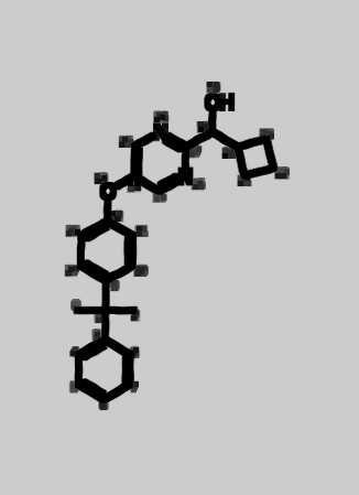 CC(C)(c1ccccc1)c1ccc(Oc2cnc(C(O)C3CCC3)nc2)cc1